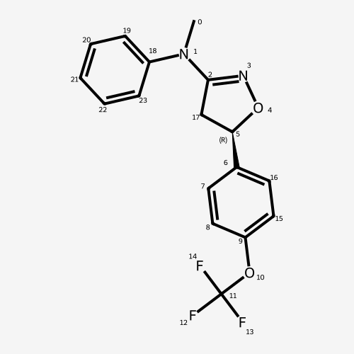 CN(C1=NO[C@@H](c2ccc(OC(F)(F)F)cc2)C1)c1ccccc1